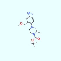 COCc1cc(N)ccc1N1CCN(C(=O)OC(C)(C)C)C(C)C1